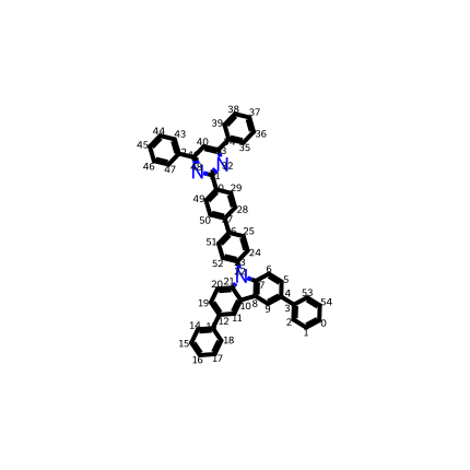 c1ccc(-c2ccc3c(c2)c2cc(-c4ccccc4)ccc2n3-c2ccc(-c3ccc(-c4nc(-c5ccccc5)cc(-c5ccccc5)n4)cc3)cc2)cc1